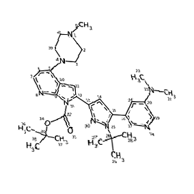 CN1CCN(c2ccnc3c2cc(-c2cc(-c4cncc(N(C)C)c4)n(C(C)(C)C)n2)n3C(=O)OC(C)(C)C)CC1